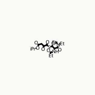 CCC(=O)NC(C(=O)N(CC)CC)C(C)SC(=O)C(=O)CC(=O)OC(C)C